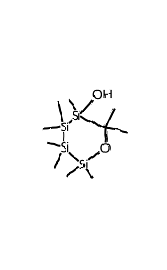 CC1(C)O[Si](C)(C)[Si](C)(C)[Si](C)(C)[Si]1(C)O